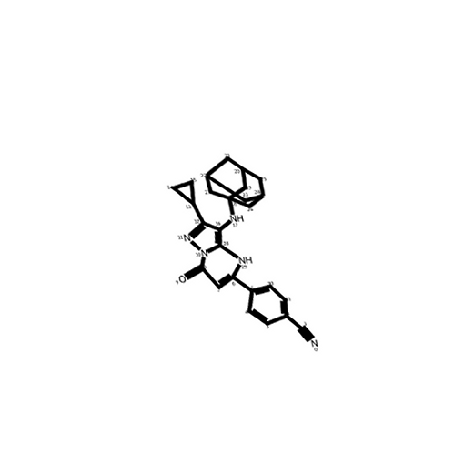 N#Cc1ccc(-c2cc(=O)n3nc(C4CC4)c(NC45CC6CC(CC(C6)C4)C5)c3[nH]2)cc1